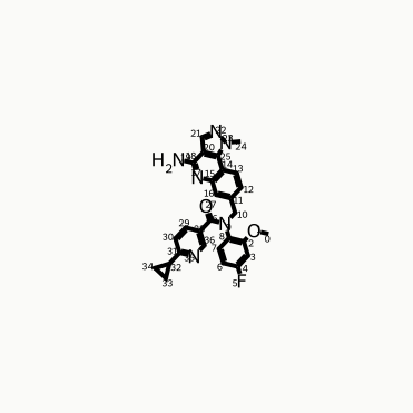 COc1cc(F)ccc1N(Cc1ccc2c(c1)nc(N)c1cnn(C)c12)C(=O)c1ccc(C2CC2)nc1